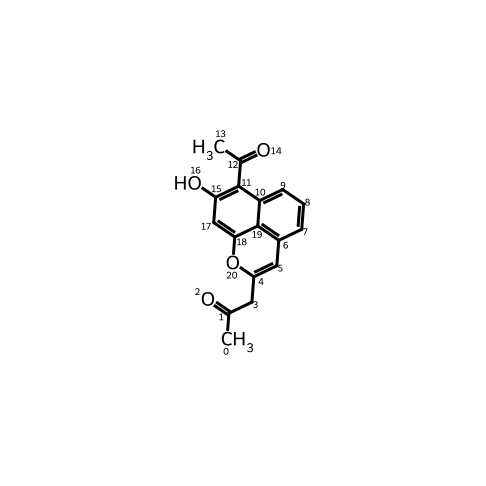 CC(=O)CC1=Cc2cccc3c(C(C)=O)c(O)cc(c23)O1